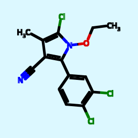 CCOn1c(Cl)c(C)c(C#N)c1-c1ccc(Cl)c(Cl)c1